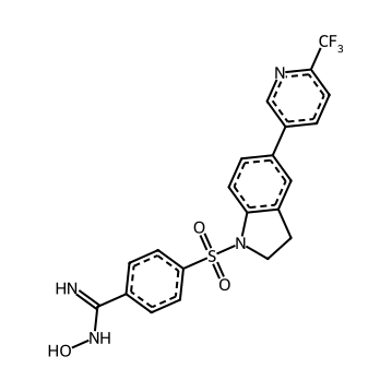 N=C(NO)c1ccc(S(=O)(=O)N2CCc3cc(-c4ccc(C(F)(F)F)nc4)ccc32)cc1